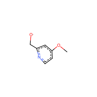 COc1ccnc(C[O])c1